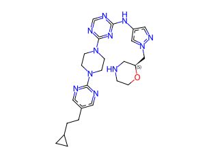 c1nc(Nc2cnn(C[C@@H]3CNCCO3)c2)nc(N2CCN(c3ncc(CCC4CC4)cn3)CC2)n1